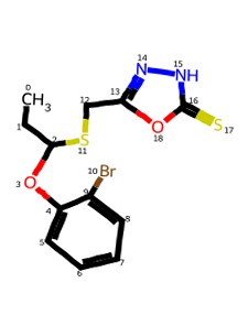 CCC(Oc1ccccc1Br)SCc1n[nH]c(=S)o1